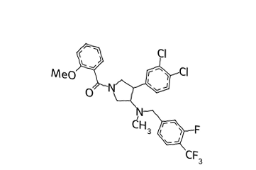 COc1ccccc1C(=O)N1CC(c2ccc(Cl)c(Cl)c2)C(N(C)Cc2ccc(C(F)(F)F)c(F)c2)C1